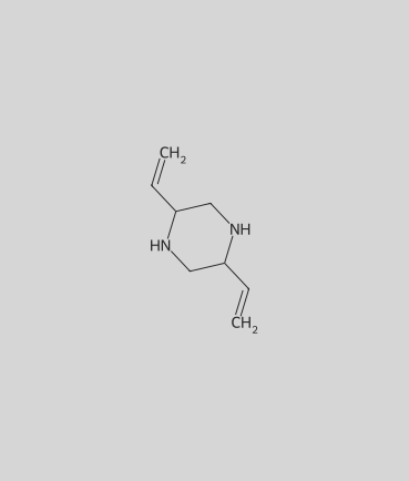 C=CC1CNC(C=C)CN1